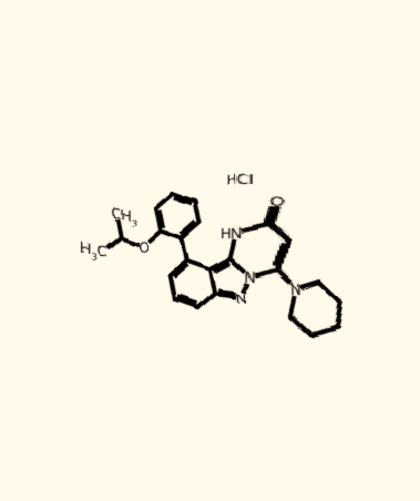 CC(C)Oc1ccccc1-c1cccc2nn3c(N4CCCCC4)cc(=O)[nH]c3c12.Cl